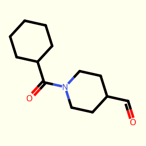 O=CC1CCN(C(=O)C2CCCCC2)CC1